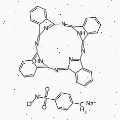 Cc1ccc(S(=O)(=O)[N-]Cl)cc1.[Na+].c1ccc2c(c1)-c1nc-2nc2[nH]c(nc3nc(nc4[nH]c(n1)c1ccccc41)-c1ccccc1-3)c1ccccc21